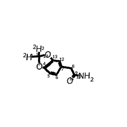 [2H]C1([2H])Oc2ccc(CC(N)=O)cc2O1